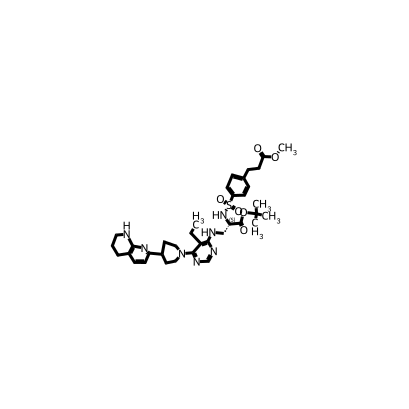 CCc1c(NC[C@H](NS(=O)(=O)c2ccc(CCC(=O)OC)cc2)C(=O)OC(C)(C)C)ncnc1N1CCC(c2ccc3c(n2)NCCC3)CC1